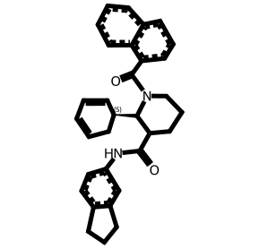 O=C(Nc1ccc2c(c1)CCC2)C1CCCN(C(=O)c2cccc3ccccc23)C1[C@@H]1C=CC=CC1